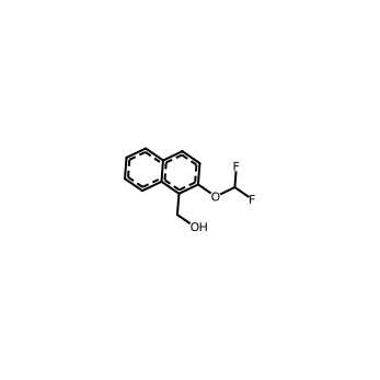 OCc1c(OC(F)F)ccc2ccccc12